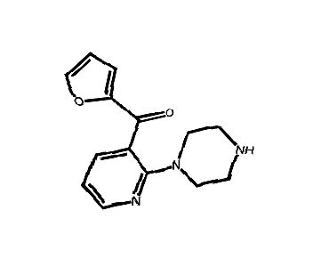 O=C(c1ccco1)c1cccnc1N1CCNCC1